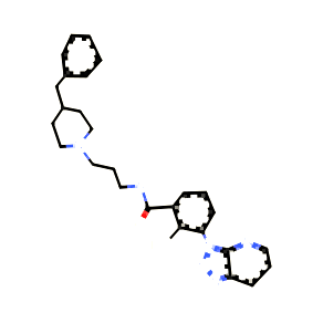 Cc1c(C(=O)NCCCN2CCC(Cc3ccccc3)CC2)cccc1-n1nnc2cccnc21